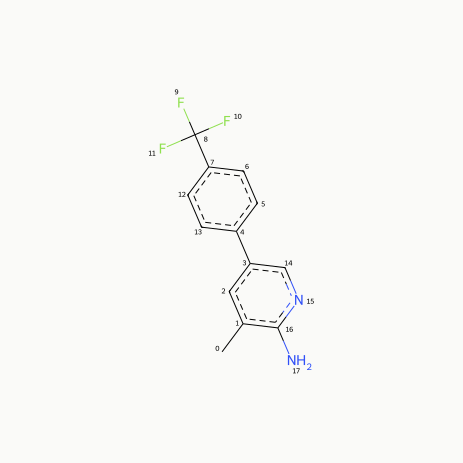 Cc1cc(-c2ccc(C(F)(F)F)cc2)cnc1N